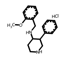 COc1ccccc1CNC1CCNCC1c1ccccc1.Cl